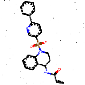 C=CC(=O)NC1CCN(S(=O)(=O)c2ccc(-c3ccccc3)nc2)c2ccccc21